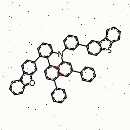 c1ccc(-c2ccc(-c3c(-c4ccc5c(c4)oc4ccccc45)cccc3N(c3cccc(-c4ccccc4)c3)c3cccc(-c4ccc5sc6ccccc6c5c4)c3)cc2)cc1